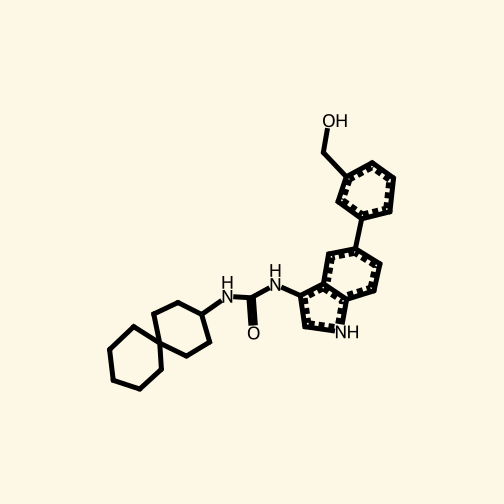 O=C(Nc1c[nH]c2ccc(-c3cccc(CO)c3)cc12)NC1CCC2(CCCCC2)CC1